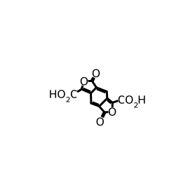 O=C(O)C1=c2cc3c(cc2C(=O)O1)=C(C(=O)O)OC3=O